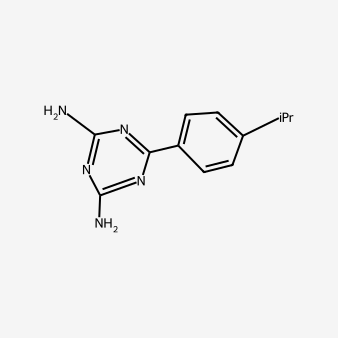 CC(C)c1ccc(-c2nc(N)nc(N)n2)cc1